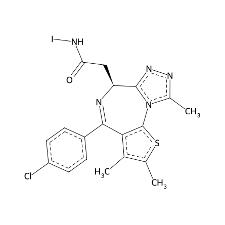 Cc1sc2c(c1C)C(c1ccc(Cl)cc1)=N[C@@H](CC(=O)NI)c1nnc(C)n1-2